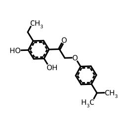 CCc1cc(C(=O)COc2ccc(C(C)C)cc2)c(O)cc1O